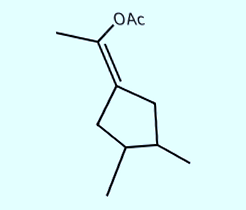 CC(=O)OC(C)=C1CC(C)C(C)C1